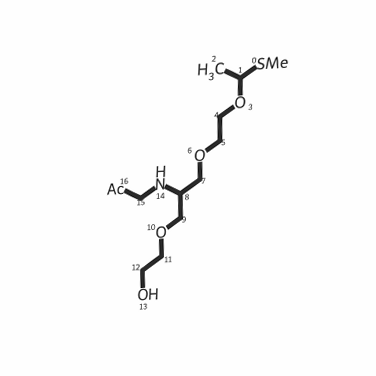 CSC(C)OCCOCC(COCCO)NCC(C)=O